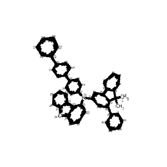 CC1(C)c2ccccc2-c2cc(N(c3ccc(-c4ccc(-c5ccccc5)cc4)cc3)c3cccc4oc5ccccc5c34)cc(-c3ccccc3)c21